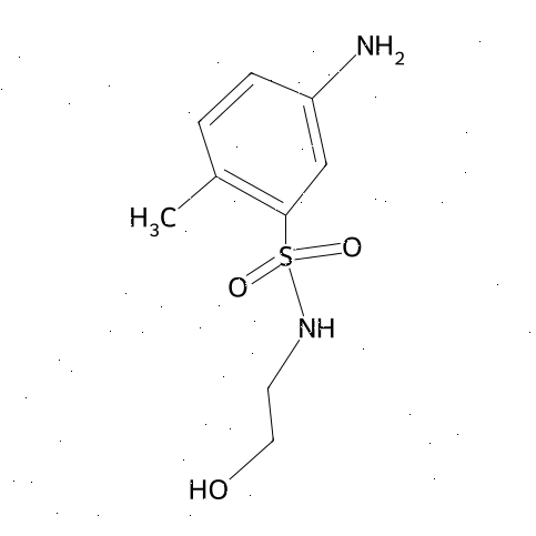 Cc1ccc(N)cc1S(=O)(=O)NCCO